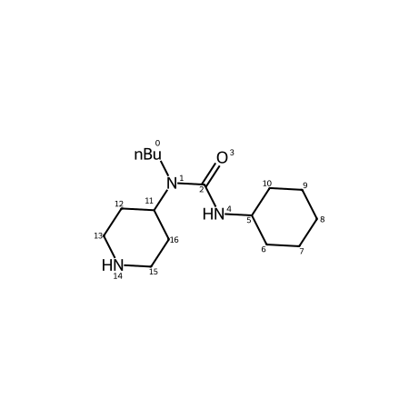 CCCCN(C(=O)NC1CCCCC1)C1CCNCC1